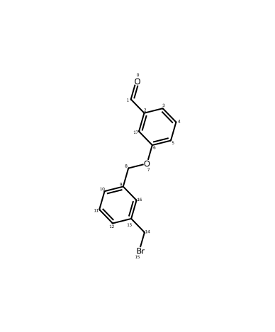 O=Cc1cccc(OCc2cccc(CBr)c2)c1